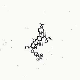 C=CC(=O)Nc1cc(Nc2ncc(Cl)c(OC3CN(S(C)(=O)=O)C3)n2)c(OC)cc1N1CCN(C(C)C)CC1